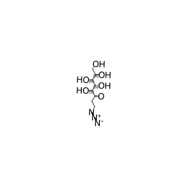 [N-]=[N+]=NCCC(=O)[C@@H](O)[C@@H](O)[C@H](O)[C@H](O)CO